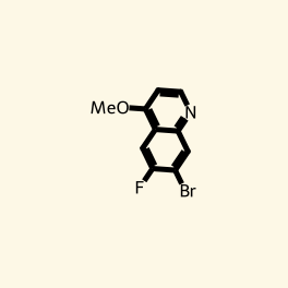 COc1ccnc2cc(Br)c(F)cc12